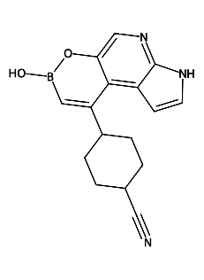 N#CC1CCC(C2=CB(O)Oc3cnc4[nH]ccc4c32)CC1